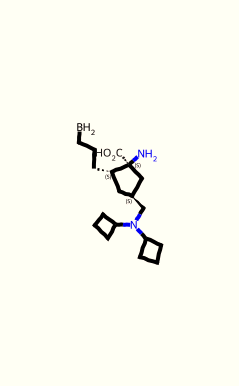 BCCC[C@H]1C[C@H](CN(C2CCC2)C2CCC2)C[C@@]1(N)C(=O)O